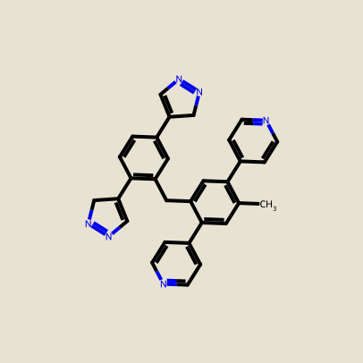 Cc1cc(-c2ccncc2)c(Cc2cc(C3=CN=NC3)ccc2C2=CN=NC2)cc1-c1ccncc1